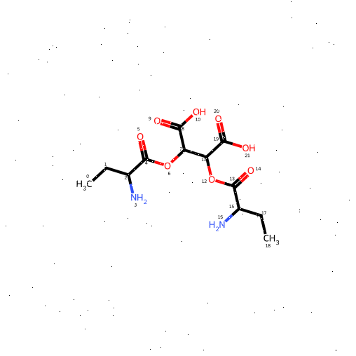 CCC(N)C(=O)OC(C(=O)O)C(OC(=O)C(N)CC)C(=O)O